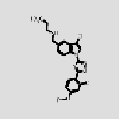 CC(C)Oc1ccc(-c2nc(-n3cc(Cl)c4cc(CNCCC(=O)O)ccc43)no2)c(Cl)c1